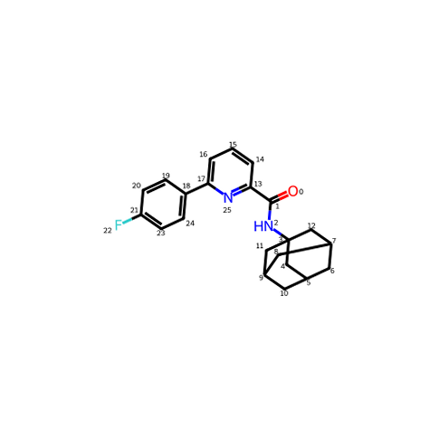 O=C(NC12CC3CC(CC(C3)C1)C2)c1cccc(-c2ccc(F)cc2)n1